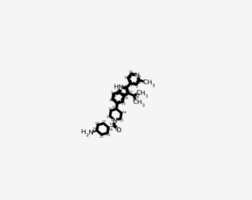 Cc1cc(-c2[nH]c3ccc(C4CCN(C(=O)[C@H]5CC[C@H](N)CC5)CC4)cc3c2C(C)C)ccn1